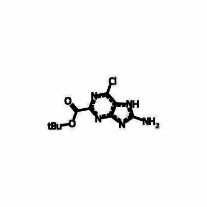 CC(C)(C)OC(=O)c1nc(Cl)c2[nH]c(N)nc2n1